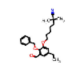 CCc1cc(C=O)c(OCc2ccccc2)c(OCCCCCC(C)(C)C#N)c1